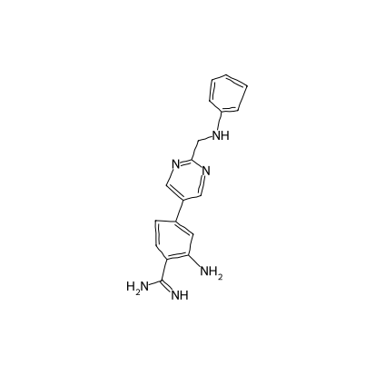 N=C(N)c1ccc(-c2cnc(CNc3ccccc3)nc2)cc1N